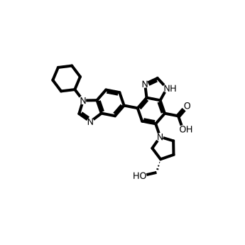 O=C(O)c1c(N2CC[C@H](CO)C2)cc(-c2ccc3c(c2)ncn3C2CCCCC2)c2nc[nH]c12